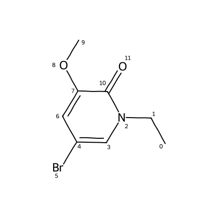 CCn1cc(Br)cc(OC)c1=O